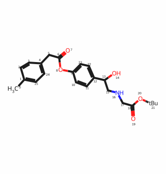 Cc1ccc(CC(=O)Oc2ccc(C(O)CNCC(=O)OC(C)(C)C)cc2)cc1